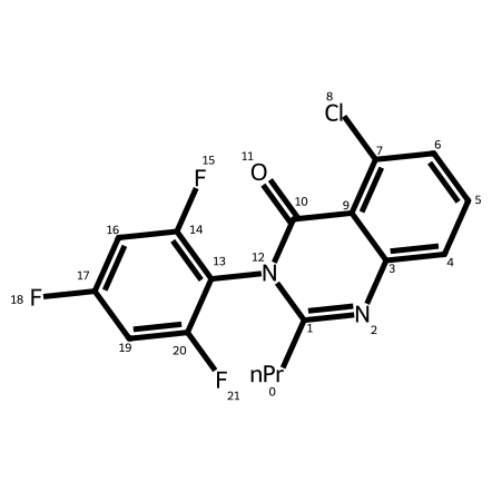 CCCc1nc2cccc(Cl)c2c(=O)n1-c1c(F)cc(F)cc1F